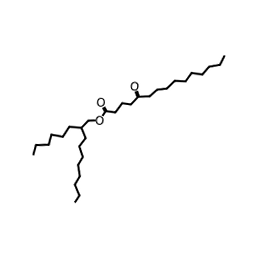 CCCCCCCCCCC(=O)CCCC(=O)OCC(CCCCCC)CCCCCCCC